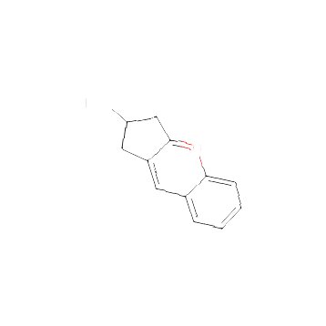 CC1Cc2cc3ccccc3[o+]c2C1